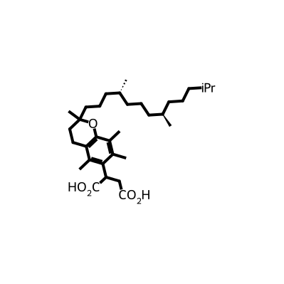 Cc1c(C)c(C(CC(=O)O)C(=O)O)c(C)c2c1OC(C)(CCC[C@H](C)CCC[C@H](C)CCCC(C)C)CC2